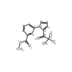 COC(=O)c1cccc(-n2cccc2C(=O)C(Cl)(Cl)Cl)c1